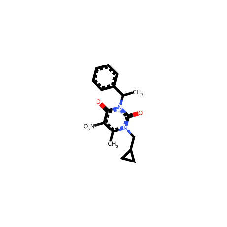 Cc1c([N+](=O)[O-])c(=O)n(C(C)c2ccccc2)c(=O)n1CC1CC1